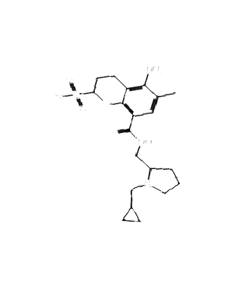 Cc1cc(C(=O)NCC2CCCN2CC2CC2)c2c(c1N)CCC(S(N)(=O)=O)O2